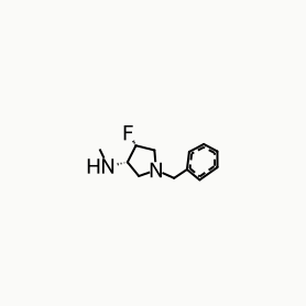 CN[C@H]1CN(Cc2ccccc2)C[C@H]1F